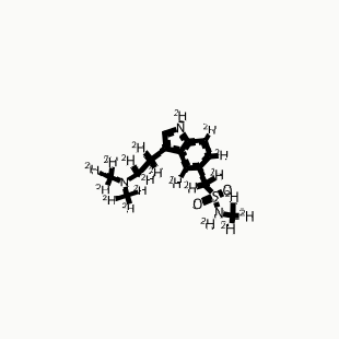 [2H]c1c(C([2H])([2H])S(=O)(=O)N([2H])C([2H])([2H])[2H])c([2H])c2c(C([2H])([2H])C([2H])([2H])N(C([2H])([2H])[2H])C([2H])([2H])[2H])cn([2H])c2c1[2H]